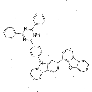 c1ccc(C2=NC(c3ccc(-n4c5ccccc5c5ccc(-c6cccc7c6oc6ccccc67)cc54)cc3)NC(c3ccccc3)=N2)cc1